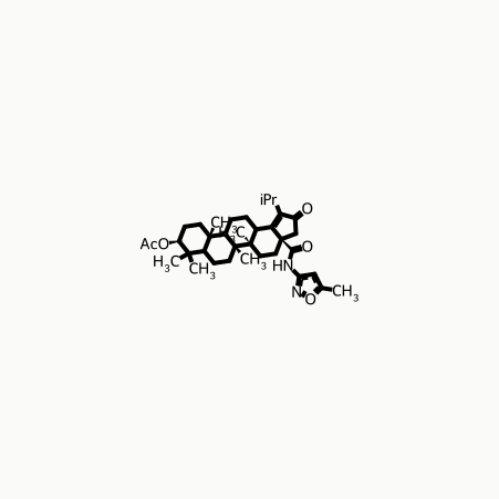 CC(=O)O[C@H]1CC[C@@]2(C)C(CC[C@]3(C)C2CCC2C4=C(C(C)C)C(=O)C[C@]4(C(=O)Nc4cc(C)on4)CC[C@]23C)C1(C)C